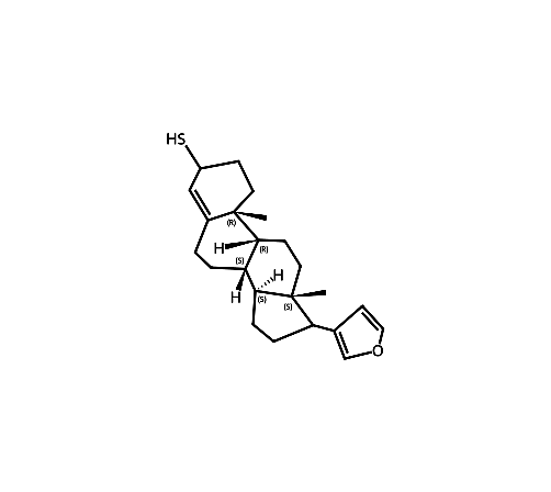 C[C@]12CCC(S)C=C1CC[C@@H]1[C@H]2CC[C@]2(C)C(c3ccoc3)CC[C@@H]12